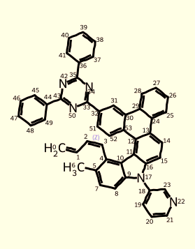 C=C/C=C\c1c(C)ccc2c1c1c3c(ccc1n2-c1cccnc1)c1ccccc1c1cc(-c2nc(-c4ccccc4)nc(-c4ccccc4)n2)ccc13